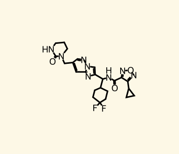 O=C(NC(c1cn2ncc(CN3CCCNC3=O)cc2n1)C1CCC(F)(F)CC1)c1nonc1C1CC1